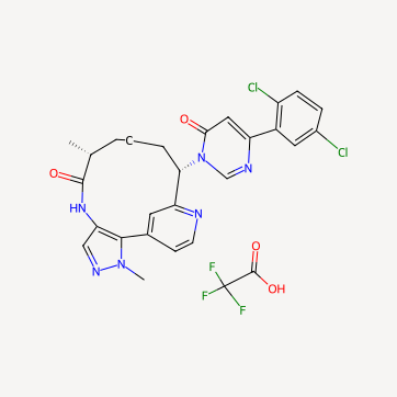 C[C@@H]1CCC[C@H](n2cnc(-c3cc(Cl)ccc3Cl)cc2=O)c2cc(ccn2)-c2c(cnn2C)NC1=O.O=C(O)C(F)(F)F